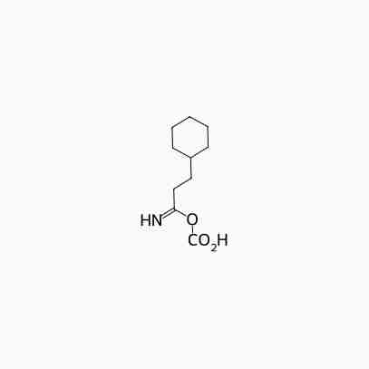 N=C(CCC1CCCCC1)OC(=O)O